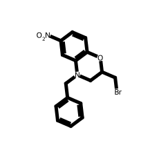 O=[N+]([O-])c1ccc2c(c1)N(Cc1ccccc1)CC(CBr)O2